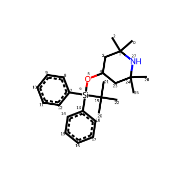 CC1(C)CC(O[Si](c2ccccc2)(c2ccccc2)C(C)(C)C)CC(C)(C)N1